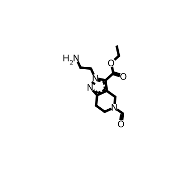 CCOC(=O)c1c2c(nn1CCN)CCN(C=O)C2